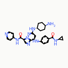 N[C@H]1CC[C@H](Nc2cc(Nc3ccc(C(=O)NC4CC4)cc3)c3ncc(C(=O)Nc4ccncc4)n3n2)CC1